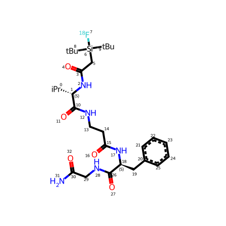 CC(C)[C@H](NC(=O)C[Si]([18F])(C(C)(C)C)C(C)(C)C)C(=O)NCCC(=O)N[C@@H](Cc1ccccc1)C(=O)NCC(N)=O